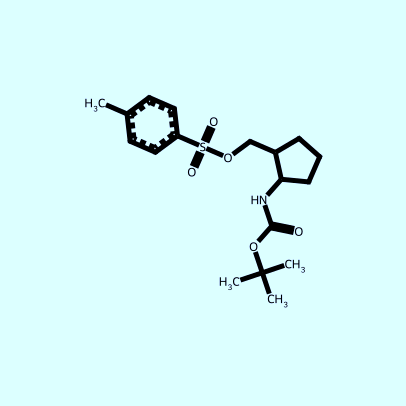 Cc1ccc(S(=O)(=O)OCC2CCCC2NC(=O)OC(C)(C)C)cc1